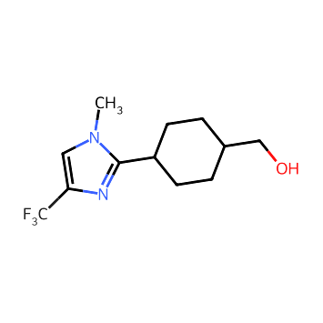 Cn1cc(C(F)(F)F)nc1C1CCC(CO)CC1